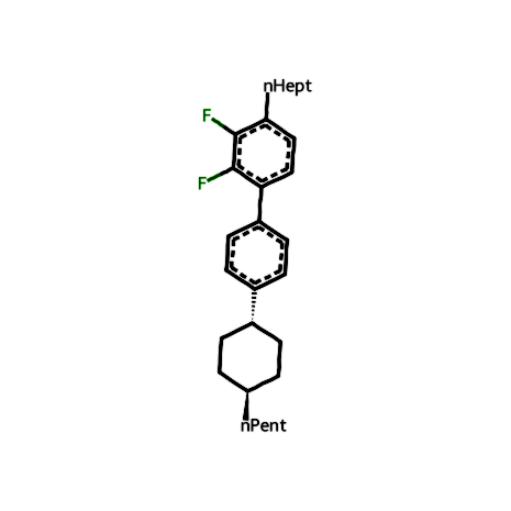 CCCCCCCc1ccc(-c2ccc([C@H]3CC[C@H](CCCCC)CC3)cc2)c(F)c1F